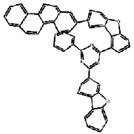 c1ccc(-c2nc(-c3ccc4c(c3)oc3ccccc34)nc(-c3cccc4oc5ccc(-c6ccc7c(ccc8c9ccccc9ccc78)c6)cc5c34)n2)cc1